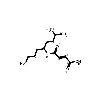 CCCCC(CCC(C)C)OC(=O)C=CC(=O)O